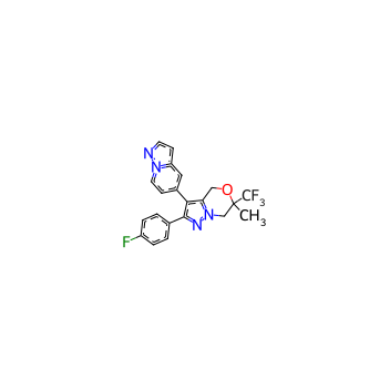 CC1(C(F)(F)F)Cn2nc(-c3ccc(F)cc3)c(-c3ccn4nccc4c3)c2CO1